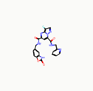 O=C(NCc1ccc2oc(=O)[nH]c2c1)c1cc(C(=O)NCc2ccccn2)n2ncc(F)c2n1